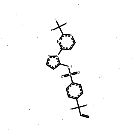 C=CC(F)(F)c1ccc(S(=O)(=O)Nc2ccnn2-c2ccnc(C(F)(F)F)n2)cc1